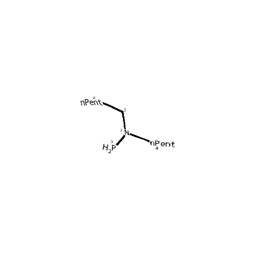 CCCCCCN(P)CCCCC